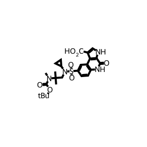 CN(C(=O)OC(C)(C)C)C(C)(C)CN(C1CC1)S(=O)(=O)c1ccc2[nH]c(=O)c3[nH]cc(C(=O)O)c3c2c1